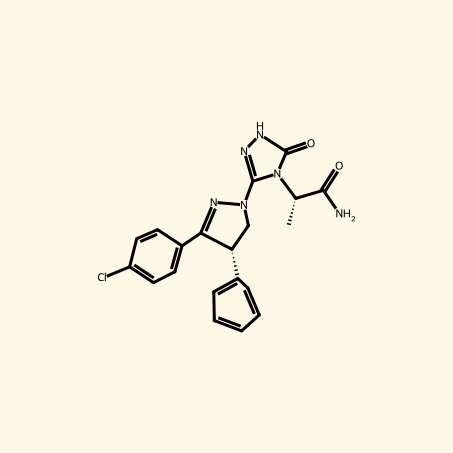 C[C@@H](C(N)=O)n1c(N2C[C@H](c3ccccc3)C(c3ccc(Cl)cc3)=N2)n[nH]c1=O